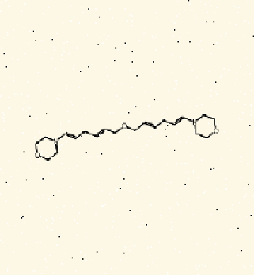 C(=CCOCC=CCC=CN1CCOCC1)CC=CN1CCOCC1